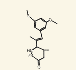 COc1cc(/C=C(\C)C2NNC(=O)CC2C)cc(SC)c1